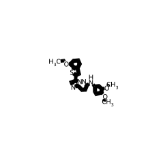 CCOc1cccc2cc(-c3cnc4ccc(Nc5ccc(OC)c(OC)c5)nn34)sc12